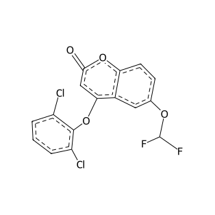 O=c1cc(Oc2c(Cl)cccc2Cl)c2cc(OC(F)F)ccc2o1